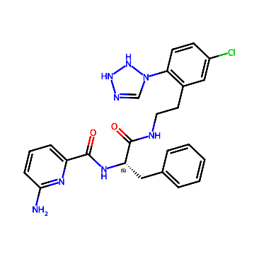 Nc1cccc(C(=O)N[C@@H](Cc2ccccc2)C(=O)NCCc2cc(Cl)ccc2N2C=NNN2)n1